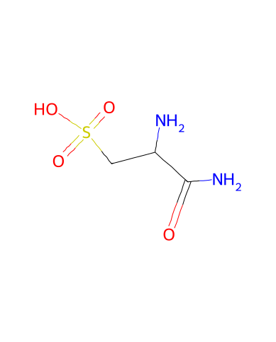 NC(=O)C(N)CS(=O)(=O)O